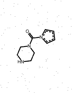 O=C(N1CCNCC1)n1cccc1